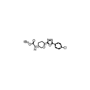 CC(C)(C)OC(=O)N[C@@H]1CC[C@@H](c2nnc(-c3ccc(Cl)cc3)o2)OC1